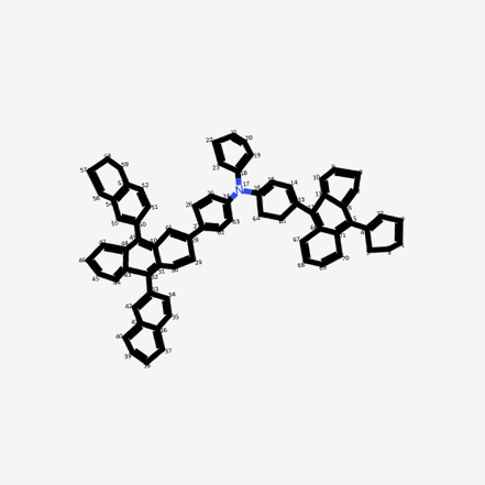 C1=CCCC(c2c3ccccc3c(C3=CC=C(N(c4ccccc4)c4ccc(-c5ccc6c(-c7ccc8ccccc8c7)c7ccccc7c(-c7ccc8c(c7)C=CCC8)c6c5)cc4)CC3)c3ccccc23)=C1